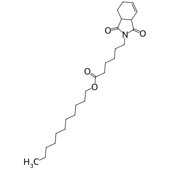 CCCCCCCCCCCOC(=O)CCCCCN1C(=O)C2C=CCCC2C1=O